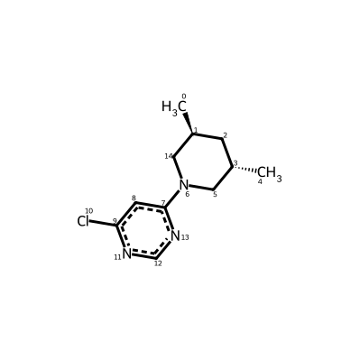 C[C@H]1C[C@H](C)CN(c2cc(Cl)ncn2)C1